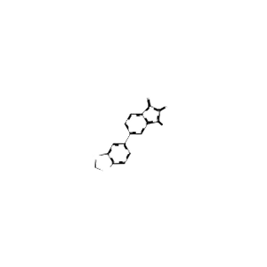 O=c1c(=O)c2ccc(-c3ccc4c(c3)OCO4)cc2c1=O